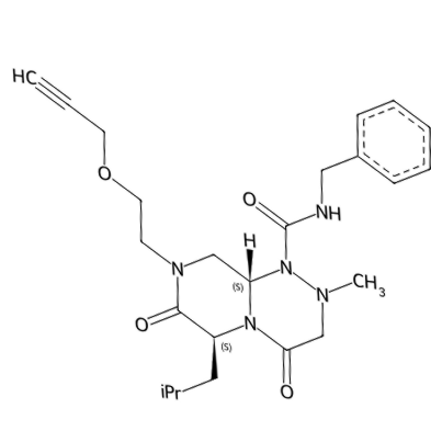 C#CCOCCN1C[C@H]2N(C(=O)CN(C)N2C(=O)NCc2ccccc2)[C@@H](CC(C)C)C1=O